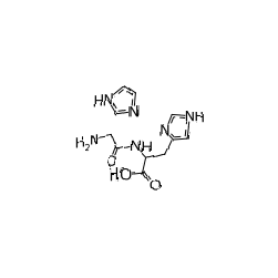 NCC(=O)NC(Cc1c[nH]cn1)C(=O)O.c1c[nH]cn1